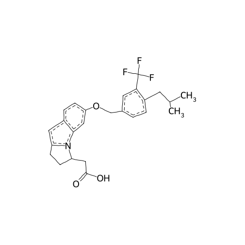 CC(C)Cc1ccc(COc2ccc3cc4n(c3c2)C(CC(=O)O)CC4)cc1C(F)(F)F